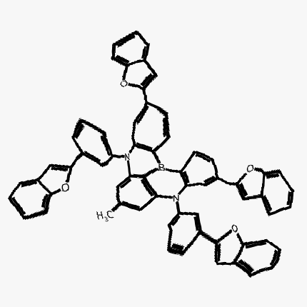 Cc1cc2c3c(c1)N(c1cccc(-c4cc5ccccc5o4)c1)c1cc(-c4cc5ccccc5o4)ccc1B3c1ccc(-c3cc4ccccc4o3)cc1N2c1cccc(-c2cc3ccccc3o2)c1